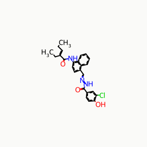 CCC=C(CC)C(=O)Nc1ccc(C=NNC(=O)c2ccc(O)c(Cl)c2)c2ccccc12